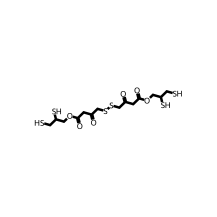 O=C(CSSCC(=O)CC(=O)OCC(S)CS)CC(=O)OCC(S)CS